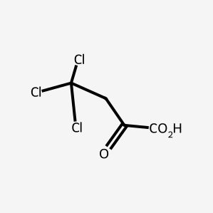 O=C(O)C(=O)CC(Cl)(Cl)Cl